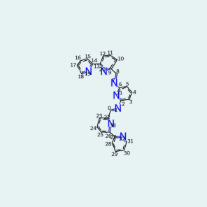 C(=N\c1cccc(/N=C/c2cccc(-c3ccccn3)n2)n1)/c1cccc(-c2ccccn2)n1